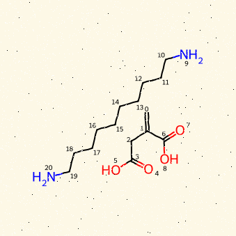 C=C(CC(=O)O)C(=O)O.NCCCCCCCCCCN